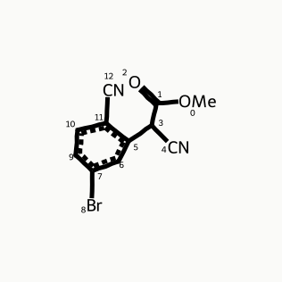 COC(=O)C(C#N)c1cc(Br)ccc1C#N